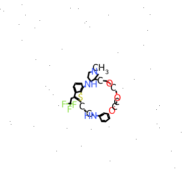 CN1CCC2Nc3cccc4c(CC(F)(F)F)c(sc34)CCCNc3cccc(c3)OCCOCCOCCC2C1